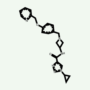 O=C(NC1CN(Cc2ccc(OCc3ccccn3)cc2)C1)c1cn(C2CC2)nn1